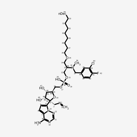 C=NC[C@@]1(c2ccc3c(N)ncnn23)O[C@H](COP(=O)(O)OC[C@@H](COCCCCCCCCCCCCCCCCCC)N(C)Cc2ccc(F)c(Cl)c2)[C@@H](O)[C@H]1O